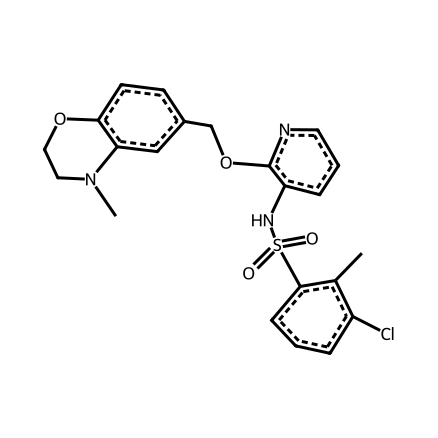 Cc1c(Cl)cccc1S(=O)(=O)Nc1cccnc1OCc1ccc2c(c1)N(C)CCO2